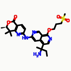 CCC(C)(N)c1cnc(OCCCS(C)(=O)=O)c2cnc(Nc3ccc4c(n3)C(C)(C)[C@H](C)OC4=O)cc12